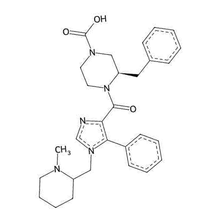 CN1CCCCC1Cn1cnc(C(=O)N2CCN(C(=O)O)C[C@H]2Cc2ccccc2)c1-c1ccccc1